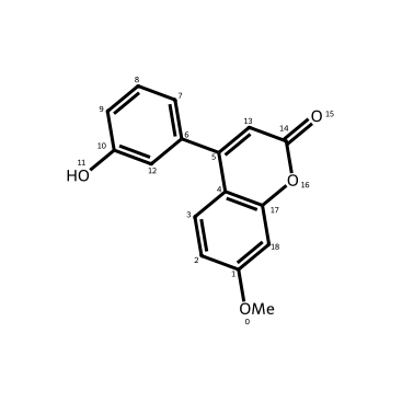 COc1ccc2c(-c3cccc(O)c3)cc(=O)oc2c1